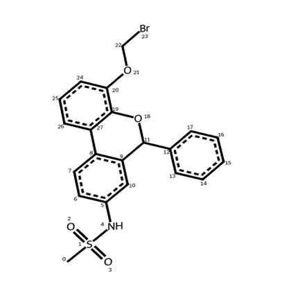 CS(=O)(=O)Nc1ccc2c(c1)C(c1ccccc1)Oc1c(OCBr)cccc1-2